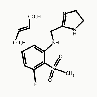 CS(=O)(=O)c1c(F)cccc1NCC1=NCCN1.O=C(O)C=CC(=O)O